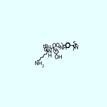 Cc1ncsc1-c1ccc([C@H](C)NC(=O)[C@@H]2C[C@@H](O)CN2C(=O)C(NC(=O)CCCCCCN)C(C)(C)C)cc1